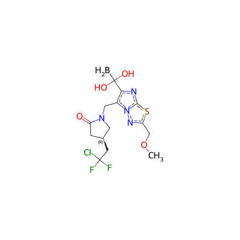 BC(O)(O)c1nc2sc(COC)nn2c1CN1C[C@@H](CC(F)(F)Cl)CC1=O